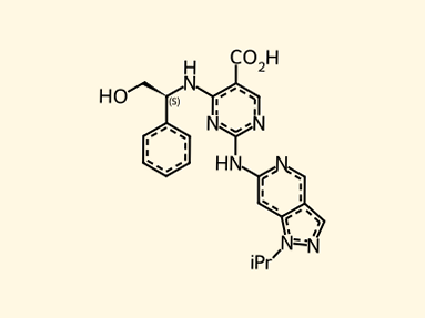 CC(C)n1ncc2cnc(Nc3ncc(C(=O)O)c(N[C@H](CO)c4ccccc4)n3)cc21